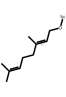 [2H]OC/C=C(\C)CCC=C(C)C